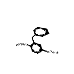 CCCCCc1ccc(CCCCC)c(Cc2ccccc2)c1